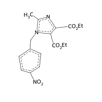 CCOC(=O)c1nc(C)n(Cc2ccc([N+](=O)[O-])cc2)c1C(=O)OCC